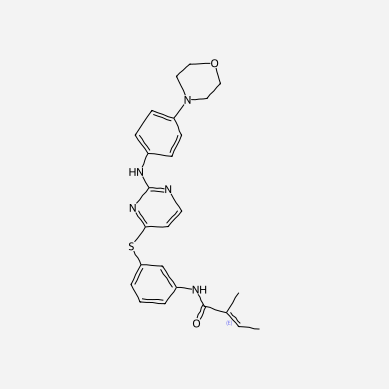 C/C=C(\C)C(=O)Nc1cccc(Sc2ccnc(Nc3ccc(N4CCOCC4)cc3)n2)c1